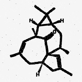 CC1=C[C@]23C(=O)[C@@](C)(C=C(C)C[C@@H]2C1)[C@H]1[C@@H](C[C@H]3C)C1(C)C